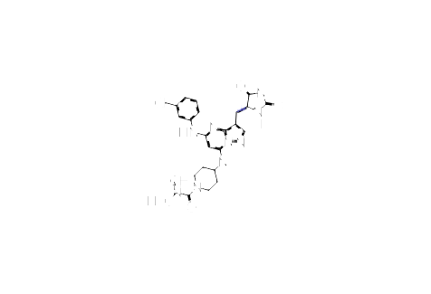 CN(C)C(=O)N1CCC(Nc2cc(Nc3cccc(Cl)c3)nc3c(/C=C4\NC(=O)NC4=O)cnn23)CC1